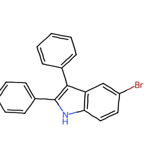 Brc1ccc2[nH]c(-c3ccccc3)c(-c3ccccc3)c2c1